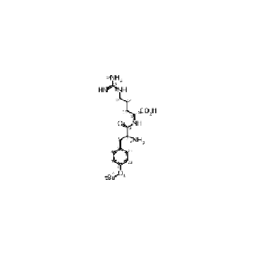 CC(C)(C)Oc1ccc(C[C@H](N)C(=O)N[C@H](CCCNC(=N)N)C(=O)O)cc1